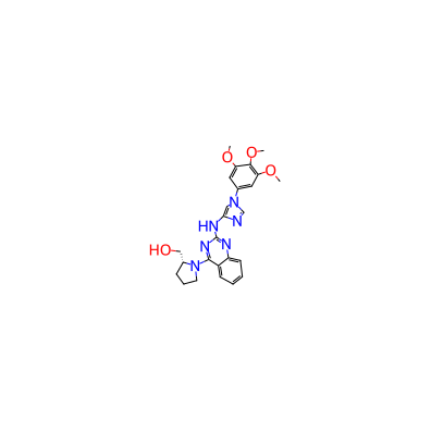 COc1cc(-n2cnc(Nc3nc(N4CCC[C@@H]4CO)c4ccccc4n3)c2)cc(OC)c1OC